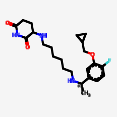 C[C@@H](NCCCCCCNC1CCC(=O)NC1=O)c1ccc(F)c(OCC2CC2)c1